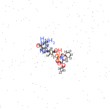 C=C1C(CO[PH](=O)N(Oc2ccccc2)C(C)C(=O)OC2CCC2)[C@@H](O)C[C@@H]1n1cnc2c(=O)[nH]c(N)nc21